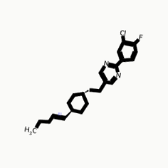 CCC/C=C/[C@H]1CC[C@H](CCc2cnc(-c3ccc(F)c(Cl)c3)nc2)CC1